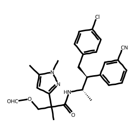 Cc1cc(C(C)(COC=O)C(=O)N[C@@H](C)[C@@H](Cc2ccc(Cl)cc2)c2cccc(C#N)c2)nn1C